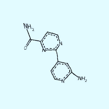 NC(=O)c1ccnc(-c2ccnc(N)c2)n1